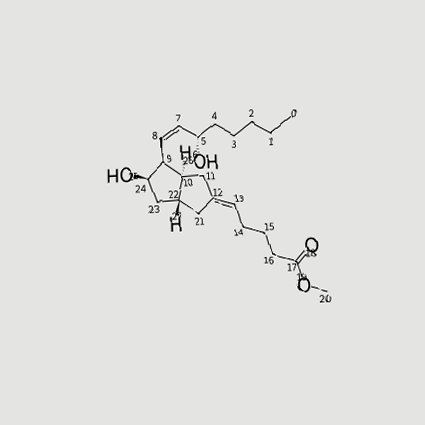 CCCCC[C@H](O)/C=C\[C@H]1[C@H]2C/C(=C/CCCC(=O)OC)C[C@@H]2C[C@H]1O